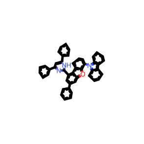 C1=C(c2ccccc2)NC(c2cc(-c3ccccc3)cc3oc4c(-n5c6ccccc6c6ccccc65)cccc4c23)N=C1c1ccccc1